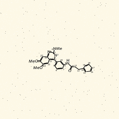 CNc1nc(-c2cccc(NC(=O)CCc3ccccc3)c2)c2cc(OC)c(OC)cc2n1